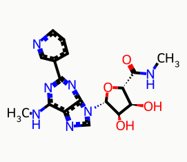 CNC(=O)[C@H]1O[C@@H](n2cnc3c(NC)nc(-c4cccnc4)nc32)[C@H](O)[C@@H]1O